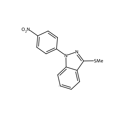 CSc1nn(-c2ccc([N+](=O)[O-])cc2)c2c[c]ccc12